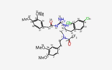 COc1ccc(CCN(C[C@@H](Cc2ccc(Cl)cc2Cl)NC(N)=NC(=O)Cc2ccc(OC)c(OC)c2)C(=O)C(F)(F)F)cc1OC